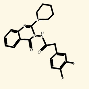 O=C(Cc1ccc(F)c(F)c1)Nn1c(N2CCCCC2)nc2ccccc2c1=O